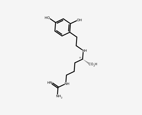 N=C(N)NCCC[C@H](NCCc1ccc(O)cc1O)C(=O)O